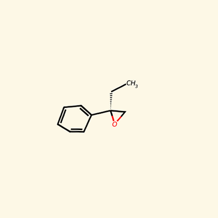 CC[C@]1(c2ccccc2)CO1